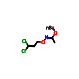 CCCCOC(C)=NOCC=C(Cl)Cl